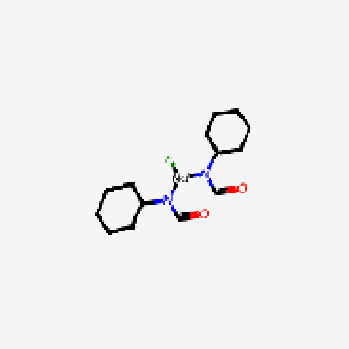 O=C[N](C1CCCCC1)[Nd]([F])[N](C=O)C1CCCCC1